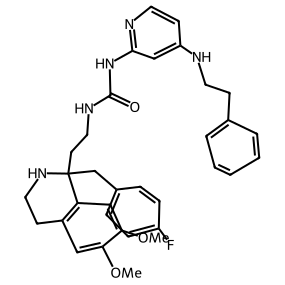 COc1cc2c(cc1OC)C(CCNC(=O)Nc1cc(NCCc3ccccc3)ccn1)(Cc1ccc(F)cc1)NCC2